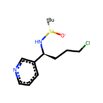 CC(C)(C)[S@+]([O-])N[C@@H](CCCCl)c1cccnc1